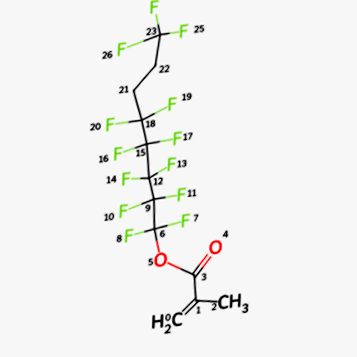 C=C(C)C(=O)OC(F)(F)C(F)(F)C(F)(F)C(F)(F)C(F)(F)CCC(F)(F)F